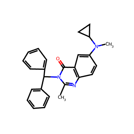 Cc1nc2ccc(N(C)C3CC3)cc2c(=O)n1C(c1ccccc1)c1ccccc1